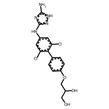 Nc1nc(Nc2cc(Cl)c(-c3ccc(OCC(O)CO)cc3)c(Cl)c2)n[nH]1